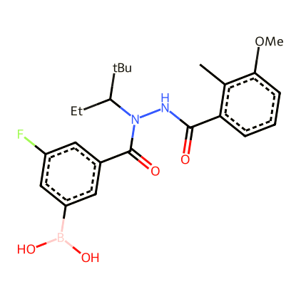 CCC(N(NC(=O)c1cccc(OC)c1C)C(=O)c1cc(F)cc(B(O)O)c1)C(C)(C)C